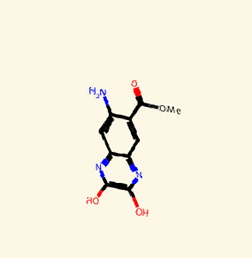 COC(=O)c1cc2nc(O)c(O)nc2cc1N